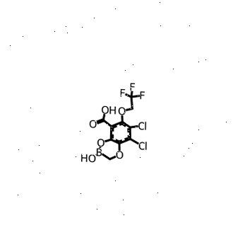 O=C(O)c1c(OCC(F)(F)F)c(Cl)c(Cl)c2c1OB(O)CO2